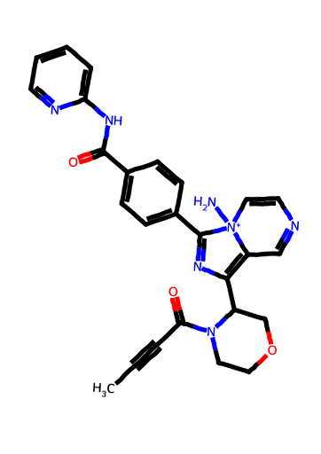 CC#CC(=O)N1CCOCC1C1=C2C=NC=C[N+]2(N)C(c2ccc(C(=O)Nc3ccccn3)cc2)=N1